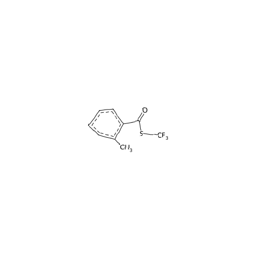 Cc1ccccc1C(=O)SC(F)(F)F